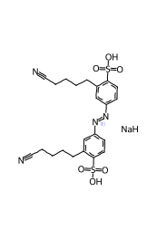 N#CCCCCc1cc(/N=N/c2ccc(S(=O)(=O)O)c(CCCCC#N)c2)ccc1S(=O)(=O)O.[NaH]